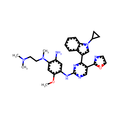 COc1cc(N(C)CCN(C)C)c(N)cc1Nc1ncc(-c2ncco2)c(-c2cn(C3CC3)c3ccccc23)n1